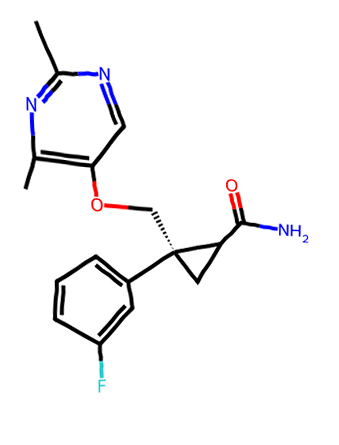 Cc1ncc(OC[C@@]2(c3cccc(F)c3)CC2C(N)=O)c(C)n1